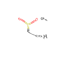 C.O=C(O)C=S(=O)=O